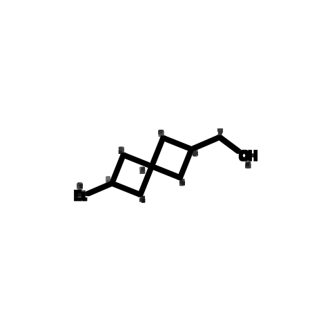 CCC1CC2(C1)CC(CO)C2